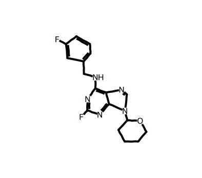 Fc1cccc(CNc2nc(F)nc3c2ncn3C2CCCCO2)c1